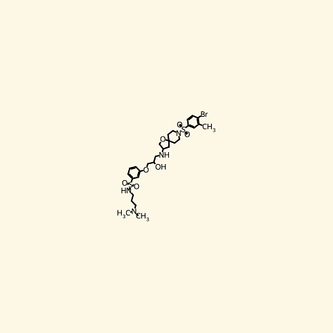 Cc1cc(S(=O)(=O)N2CCC3(CC2)CC(NCC(O)COc2cccc(S(=O)(=O)NCCCN(C)C)c2)CO3)ccc1Br